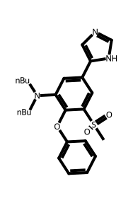 CCCCN(CCCC)c1cc(-c2cnc[nH]2)cc(S(C)(=O)=O)c1Oc1ccccc1